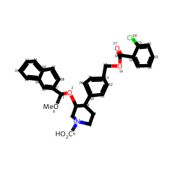 COC(OC1CN(C(=O)O)CCC1c1ccc(COC(=O)c2ccccc2Cl)cc1)c1ccc2ccccc2c1